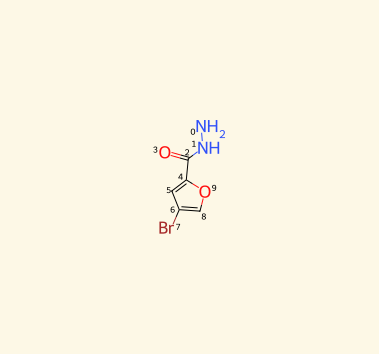 NNC(=O)c1cc(Br)co1